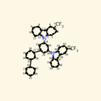 FC(F)(F)c1ccc2c(c1)c1ccccc1n2-c1cc(-c2cccc(-c3ccccc3)c2)cc(-n2c3ccccc3c3cc(C(F)(F)F)ccc32)c1